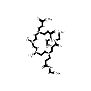 CCCCCCCCCCCOC(=O)CCN(CCC(=O)OCCCCCCCCCCC)CCN(C)CCN(CCN(CCC(=O)OC)CCC(=O)OCCCCCCCCCCC)C(C)C